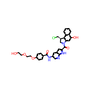 O=C(Nc1cnc2[nH]c(C(=O)N3C[C@@H](CCl)c4c3cc(O)c3ccccc43)cc2c1)c1ccc(OCCOCCO)cc1